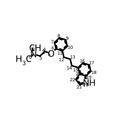 CN(C)CCOc1ccccc1CCCc1cccc2[nH]ccc12